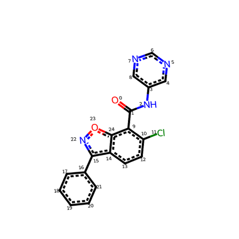 O=C(Nc1cncnc1)c1c(Cl)ccc2c(-c3ccccc3)noc12